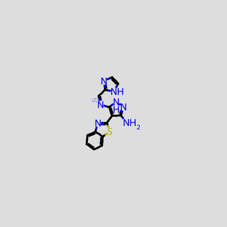 Nc1n[nH]c(/N=C\c2ncc[nH]2)c1-c1nc2ccccc2s1